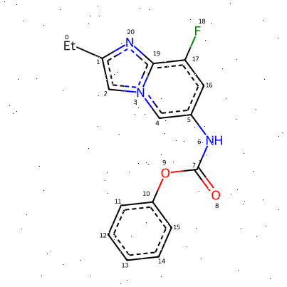 CCc1cn2cc(NC(=O)Oc3ccccc3)cc(F)c2n1